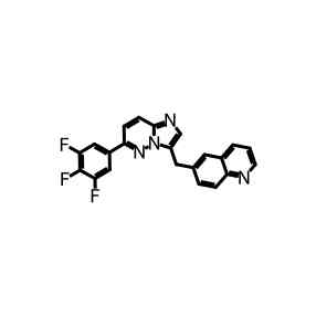 Fc1cc(-c2ccc3ncc(Cc4ccc5ncccc5c4)n3n2)cc(F)c1F